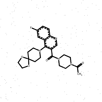 CC(=O)N1CCN(C(=O)c2cnc3ccc(F)cc3c2N2CCC3(CC2)OCCO3)CC1